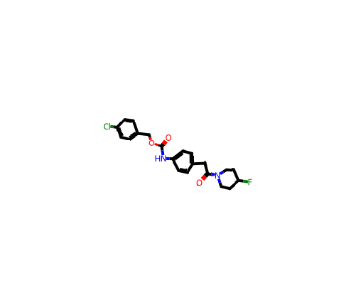 O=C(Nc1ccc(CC(=O)N2CCC(F)CC2)cc1)OCc1ccc(Cl)cc1